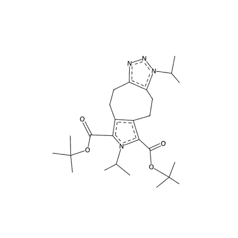 CC(C)n1nnc2c1CCc1c(c(C(=O)OC(C)(C)C)n(C(C)C)c1C(=O)OC(C)(C)C)CC2